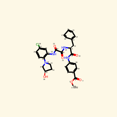 CC(C)(C)OC(=O)c1ccc(NC(=O)[C@H](Cc2ccccc2)NC(=O)C(=O)Nc2cc(Cl)ccc2N2CC[C@@H](O)C2)cc1